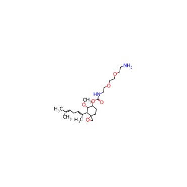 COC1C(OC(=O)NCCOCCOCCN)CC[C@]2(CO2)C1/C(C)=C/CC=C(C)C